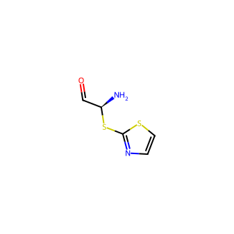 N[C@H](C=O)Sc1nccs1